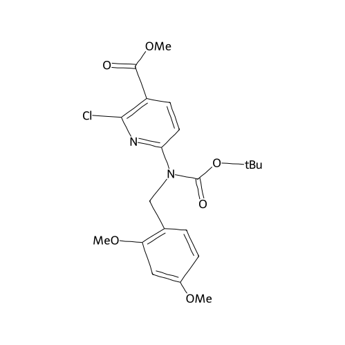 COC(=O)c1ccc(N(Cc2ccc(OC)cc2OC)C(=O)OC(C)(C)C)nc1Cl